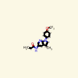 C=CC(=O)Nc1cnc2c(c1)c(C)cn2-c1ccc(OC(F)(F)F)cc1